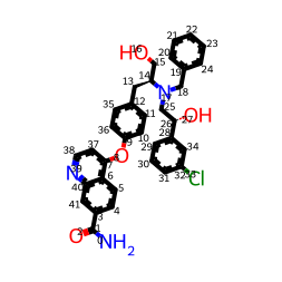 NC(=O)c1ccc2c(Oc3ccc(C[C@@H](CO)N(Cc4ccccc4)C[C@H](O)c4cccc(Cl)c4)cc3)ccnc2c1